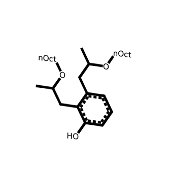 CCCCCCCCOC(C)Cc1cccc(O)c1CC(C)OCCCCCCCC